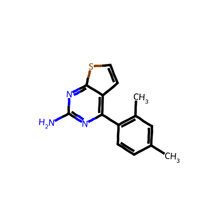 Cc1ccc(-c2nc(N)nc3sccc23)c(C)c1